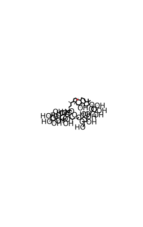 C[C@H]1[C@H](O)[C@@H](O[C@H]2O[C@@H](CO)[C@H](O[C@H]3O[C@H](CO)[C@@H](O)[C@H](O)[C@H]3O)[C@@H](O)[C@@H]2O)[C@H](O[C@H](CC[C@@H](C)C2CC[C@@]3(C)C4CC=C5C(CC[C@H](O[C@@H]6O[C@H](CO)[C@@H](O)[C@H](O)[C@H]6O)C5(C)C)[C@]4(C)[C@H](O)C[C@]23C)C(C)(C)O)O[C@@H]1CO[C@H]1O[C@H](CO)[C@@H](O)[C@H](O)[C@H]1O